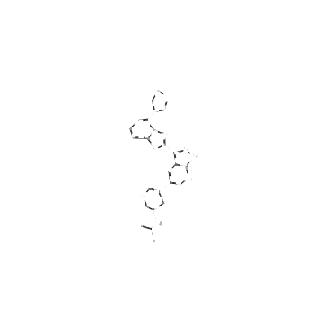 CC(C)C(=O)Nc1cncc(-c2cnc3[nH]nc(-c4nc5c(-c6ccoc6)nccc5[nH]4)c3c2)c1